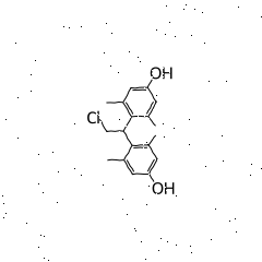 Cc1cc(O)cc(C)c1C(CCl)c1c(C)cc(O)cc1C